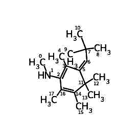 CNC1=C(C)/C(=C\C(C)(C)C)C(C)(C)C(C)=C1C